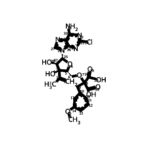 C=C(C)[C@@]1(O)[C@@H](COC(Cc2cccc(OC)c2)(C(=O)O)C(=O)O)O[C@@H](n2cnc3c(N)nc(Cl)nc32)[C@@H]1O